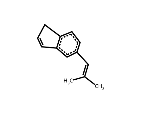 CC(C)=Cc1ccc2c(c1)C=CC2